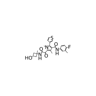 Cc1cc(NC(=O)c2c(C)c(C(=O)C(=O)NC3(C)CC(O)C3)n(C)c2-c2ccsc2)ccc1F